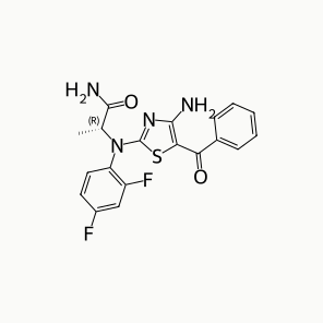 C[C@H](C(N)=O)N(c1nc(N)c(C(=O)c2ccccc2)s1)c1ccc(F)cc1F